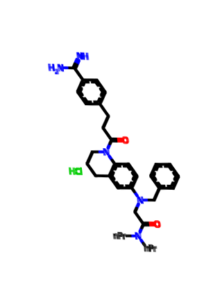 CCCN(CCC)C(=O)CN(Cc1ccccc1)c1ccc2c(c1)CCCN2C(=O)CCc1ccc(C(=N)N)cc1.Cl